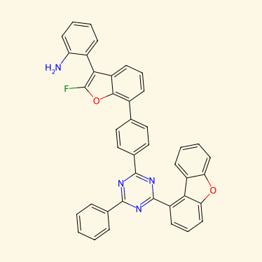 Nc1ccccc1-c1c(F)oc2c(-c3ccc(-c4nc(-c5ccccc5)nc(-c5cccc6oc7ccccc7c56)n4)cc3)cccc12